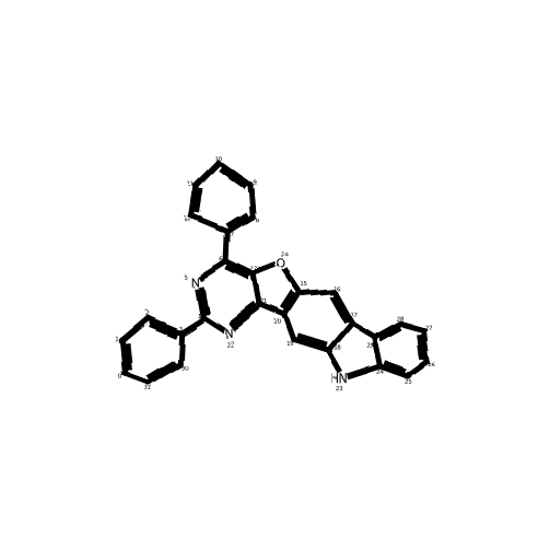 c1ccc(-c2nc(-c3ccccc3)c3oc4cc5c(cc4c3n2)[nH]c2ccccc25)cc1